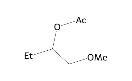 CCC(COC)OC(C)=O